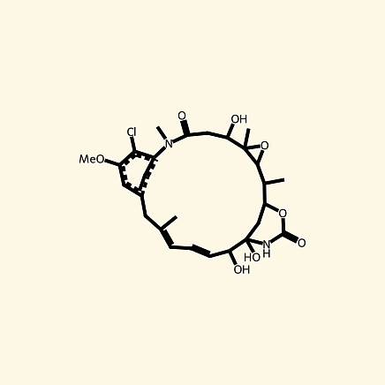 COc1cc2cc(c1Cl)N(C)C(=O)CC(O)C1(C)OC1C(C)C1CC(O)(NC(=O)O1)C(O)/C=C/C=C(\C)C2